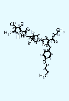 CCCCOc1ccc(Cc2nc(N3C[C@@H]4C(NC(=O)c5[nH]c(C)c(Cl)c5Cl)[C@@H]4C3)sc2C(=O)OCC)cc1